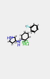 Cl.Cl.Fc1ccccc1[C@H]1CC[C@H](NC2CCNC2)CC1